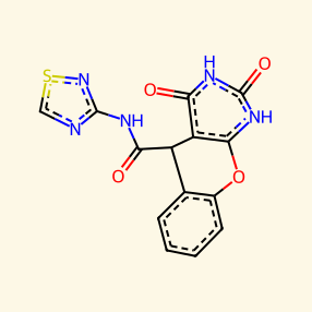 O=C(Nc1ncsn1)C1c2ccccc2Oc2[nH]c(=O)[nH]c(=O)c21